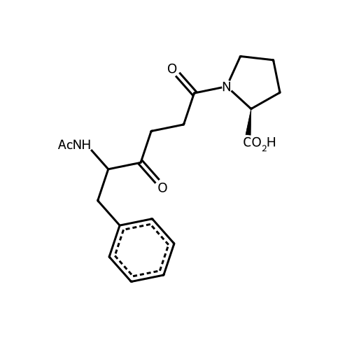 CC(=O)NC(Cc1ccccc1)C(=O)CCC(=O)N1CCC[C@H]1C(=O)O